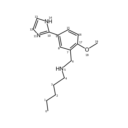 CCCCCNCc1cc(-c2ncc[nH]2)ccc1OC